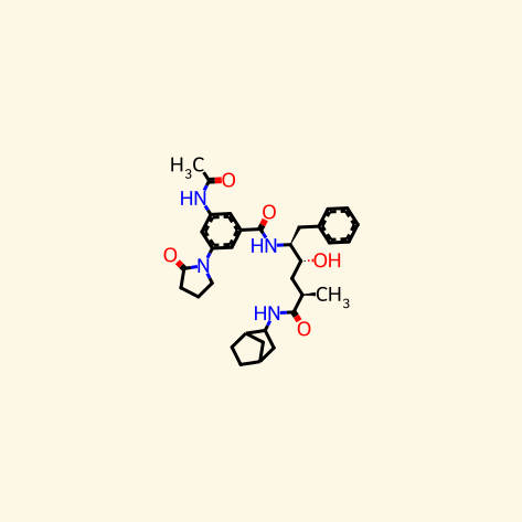 CC(=O)Nc1cc(C(=O)N[C@@H](Cc2ccccc2)[C@H](O)C[C@@H](C)C(=O)NC2CC3CCC2C3)cc(N2CCCC2=O)c1